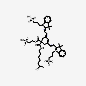 CC1(C)C(/C=C/C2=CC(=C/C=C3/N(CCCS(=O)(=O)O)c4ccccc4C3(C)C)/CC(C(=O)NCCCCCC(=O)O)(C(=O)NCCS(=O)(=O)O)C2)=[N+](CCCS(=O)(=O)O)c2ccccc21